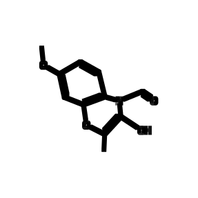 COc1ccc2c(c1)OC(C)=C(O)N2C=O